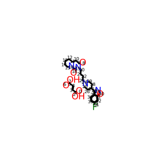 O=C(O)/C=C/C(=O)O.O=C1CC2CCCCN2C(=O)N1CCCCN1CCC(c2noc3cc(F)ccc23)CC1